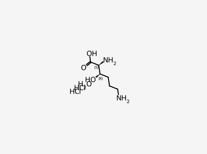 Cl.Cl.NCCC[C@@H](O)[C@H](N)C(=O)O.O